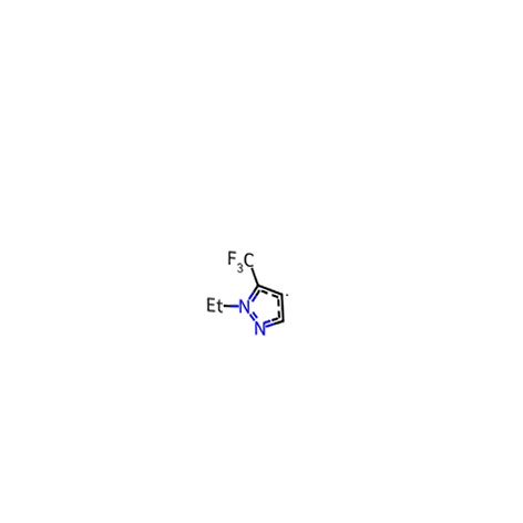 CCn1nc[c]c1C(F)(F)F